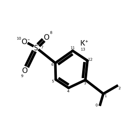 CC(C)c1ccc(S(=O)(=O)[O-])cc1.[K+]